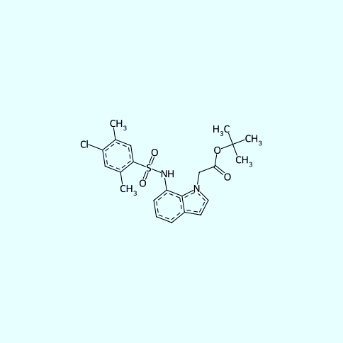 Cc1cc(S(=O)(=O)Nc2cccc3ccn(CC(=O)OC(C)(C)C)c23)c(C)cc1Cl